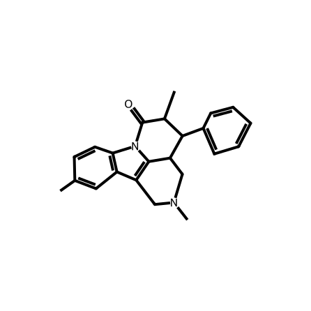 Cc1ccc2c(c1)c1c3n2C(=O)C(C)C(c2ccccc2)C3CN(C)C1